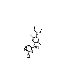 CCN(CC)c1cc(C)c(Nc2ccnc(Cl)n2)cc1C